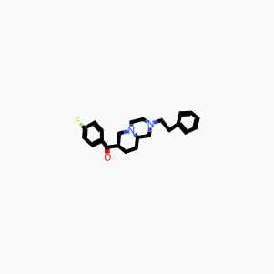 O=C(c1ccc(F)cc1)C1CCC2CN(CCc3ccccc3)CCN2C1